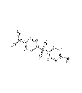 O=[N+]([O-])c1ccc(S(=O)(=O)c2ccc(S)cc2)cc1